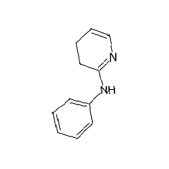 C1=CN=C(Nc2ccccc2)CC1